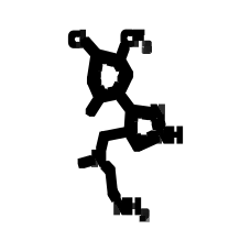 Cc1cc(Cl)c(C(F)(F)F)cc1-c1n[nH]cc1CN(C)CCN